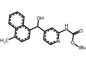 Cc1ccc(C(O)c2ccnc(NC(=O)OC(C)(C)C)c2)c2ccccc12